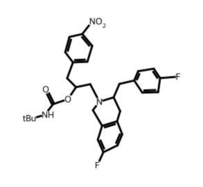 CC(C)(C)NC(=O)OC(Cc1ccc([N+](=O)[O-])cc1)CN1Cc2cc(F)ccc2CC1Cc1ccc(F)cc1